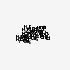 CC[C@H](C)[C@@H]([C@@H](CC(=O)N1CCC[C@H]1[C@H](OC)[C@@H](C)C(=O)N[C@@H](Cc1ccc(Cl)cc1Cl)C(=O)O)OC)N(C)C(=O)[C@@H](NC(=O)[C@@H](NC)C(C)C)C(C)C